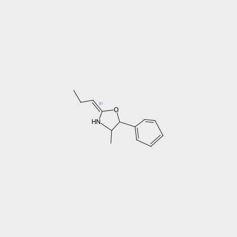 CC/C=C1\NC(C)C(c2ccccc2)O1